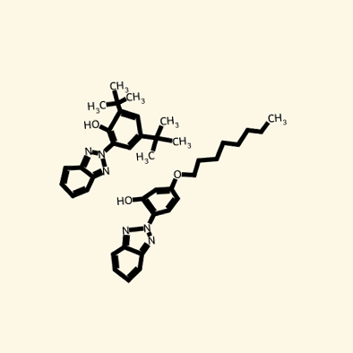 CC(C)(C)c1cc(-n2nc3ccccc3n2)c(O)c(C(C)(C)C)c1.CCCCCCCCOc1ccc(-n2nc3ccccc3n2)c(O)c1